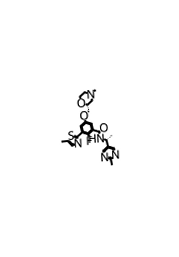 Cc1ncc([C@@H](C)NC(=O)c2cc(OC[C@H]3CN(C)CCO3)cc(-c3ncc(C)s3)c2F)cn1